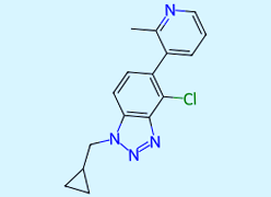 Cc1ncccc1-c1ccc2c(nnn2CC2CC2)c1Cl